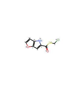 O=C(SCCl)c1cc2occc2[nH]1